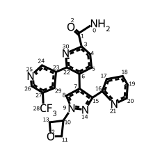 NC(=O)c1ccc(-c2cn(C3COC3)nc2-c2ccccn2)c(-c2cncc(C(F)(F)F)c2)n1